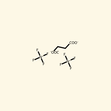 F[N+](F)(F)F.F[N+](F)(F)F.O=C([O-])CCC(=O)[O-]